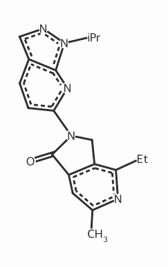 CCc1nc(C)cc2c1CN(c1ccc3cnn(C(C)C)c3n1)C2=O